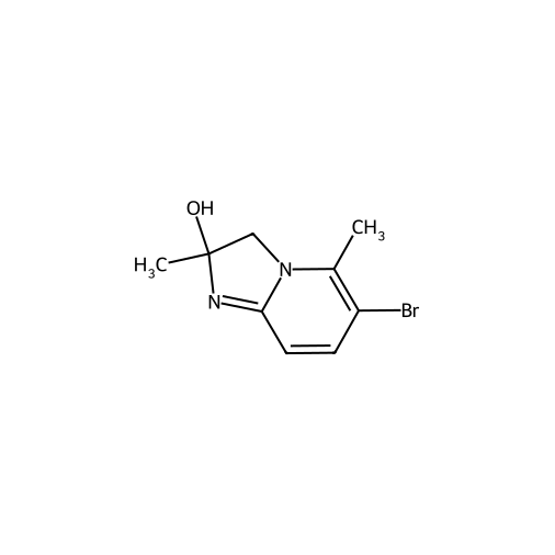 CC1=C(Br)C=CC2=NC(C)(O)CN21